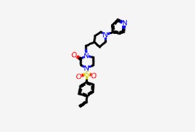 C=Cc1ccc(S(=O)(=O)N2CCN(CC3CCN(c4ccncc4)CC3)C(=O)C2)cc1